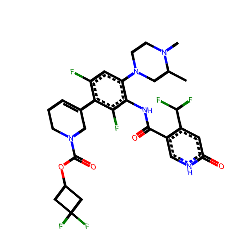 CC1CN(c2cc(F)c(C3=CCCN(C(=O)OC4CC(F)(F)C4)C3)c(F)c2NC(=O)c2c[nH]c(=O)cc2C(F)F)CCN1C